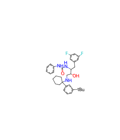 CC(C)(C)c1cccc(C2(NCC(O)C(Cc3cc(F)cc(F)c3)NC(=O)Nc3ccccc3)CCCCC2)c1